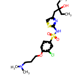 CCC(O)(CC)Cc1csc(NS(=O)(=O)c2ccc(OCCCN(C)C)c(Cl)c2)n1